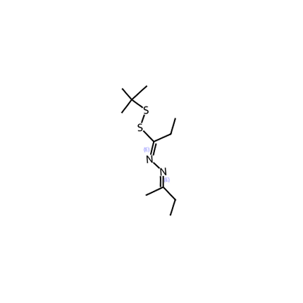 CC/C(C)=N/N=C(\CC)SSC(C)(C)C